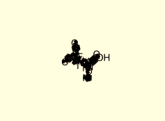 COc1ccc(CN(Cc2ccc(OC)cc2)c2cc(C)c(I)c([C@@H]3Cc4nc(OC[C@@H]5CCCN5C)nc(N5CCN(C(=O)O)C[C@@H]5C)c4C[C@H]3C)c2F)cc1